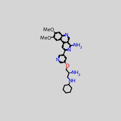 COc1cc2ncc3c(N)nc(-c4cncc(OC[C@@H](N)CNC5CCCCC5)c4)cc3c2cc1OC